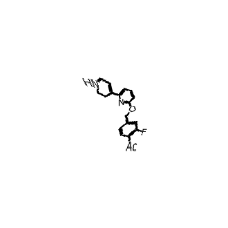 CC(=O)c1ccc(COc2cccc(C3=CCNCC3)n2)cc1F